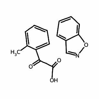 Cc1ccccc1C(=O)C(=O)O.c1ccc2oncc2c1